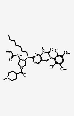 C=CC(=O)NC1CN(C(=O)C2CCN(C)CC2)CC1N(CCCCCCC)c1ncc2c(n1)N(C)C(=O)N(c1c(Cl)c(OC)cc(OC)c1Cl)C2